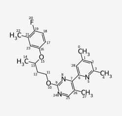 Cc1cc(C)nc(-c2nc(OCCC(C)Oc3ccc(F)c(C)c3)ncc2C)c1